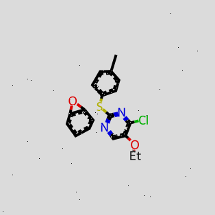 CCOc1cnc(Sc2ccc(C)cc2)nc1Cl.c1ccc2c(c1)O2